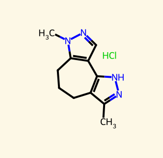 Cc1n[nH]c2c1CCCc1c-2cnn1C.Cl